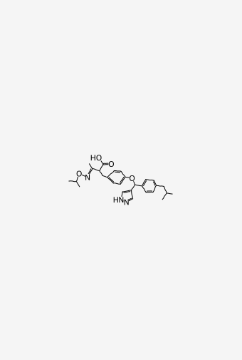 CC(=NOC(C)C)C(Cc1ccc(OC(c2ccc(CC(C)C)cc2)c2cn[nH]c2)cc1)C(=O)O